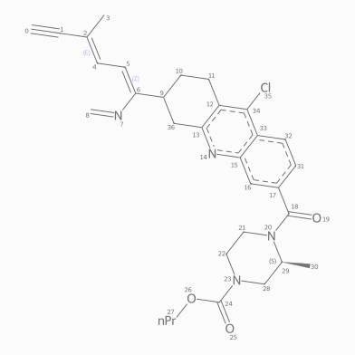 C#C/C(C)=C/C=C(\N=C)C1CCc2c(nc3cc(C(=O)N4CCN(C(=O)OCCC)C[C@@H]4C)ccc3c2Cl)C1